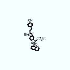 CCOC(=O)CN(c1ccc2c(c1)nc(CCc1ccc(C#N)cc1)n2CC)S(=O)(=O)c1cccc2cccnc12